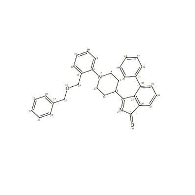 O=C1N=C(C2CCN(c3ccccc3COCc3ccccc3)CC2)c2c1cccc2-c1ccccc1